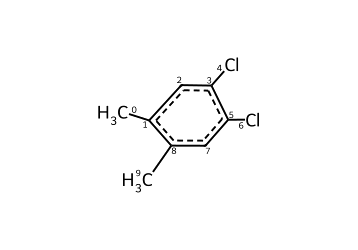 Cc1cc(Cl)c(Cl)cc1C